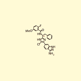 COc1ccc(F)c(C(=O)N[C@@H](Cc2ccccc2)c2nc(-c3ccc4c(N)n[nH]c4c3)c(Cl)[nH]2)c1